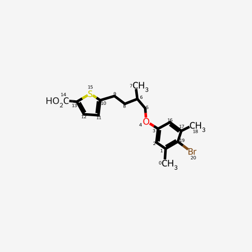 Cc1cc(OCC(C)CCc2ccc(C(=O)O)s2)cc(C)c1Br